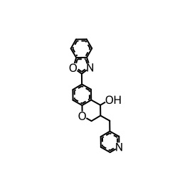 OC1c2cc(-c3nc4ccccc4o3)ccc2OCC1Cc1cccnc1